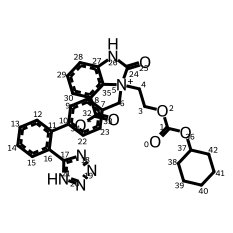 O=C(OCC[N+]1(Cc2ccc(-c3ccccc3-c3nnn[nH]3)cc2)C(=O)Nc2cccc(C(=O)[O-])c21)OC1CCCCC1